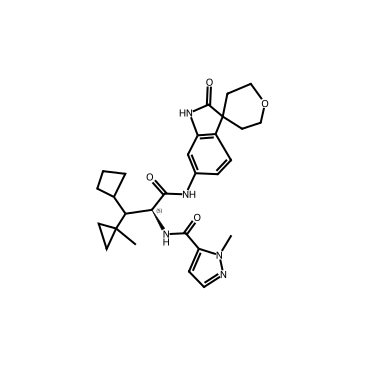 Cn1nccc1C(=O)N[C@H](C(=O)Nc1ccc2c(c1)NC(=O)C21CCOCC1)C(C1CCC1)C1(C)CC1